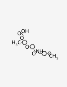 COc1ccc(CNC(=O)c2cccc(Oc3ccc(OCC(=O)O)c(C)c3)c2)cc1